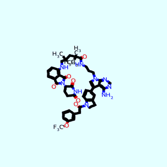 CC(C)(CNc1cccc2c1C(=O)N(C1CCC(=O)NC1=O)C2=O)CC(C)(C)C(=O)NCCCn1cc(-c2ccc3c(c2)CCN3C(=O)Cc2cccc(OC(F)(F)F)c2)c2c(N)ncnc21